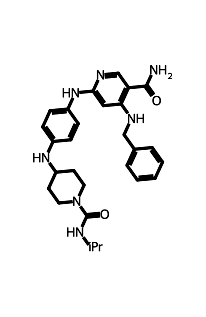 CC(C)NC(=O)N1CCC(Nc2ccc(Nc3cc(NCc4ccccc4)c(C(N)=O)cn3)cc2)CC1